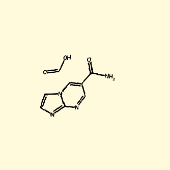 NC(=O)c1cnc2nccn2c1.O=CO